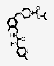 Cc1ccc(NC(=O)NCc2cc(CN3CCN(C(=O)OC(C)C)CC3)ccc2C)cn1